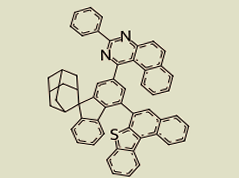 c1ccc(-c2nc(-c3cc(-c4cc5ccccc5c5c4sc4ccccc45)c4c(c3)C3(c5ccccc5-4)C4CC5CC(C4)CC3C5)c3c(ccc4ccccc43)n2)cc1